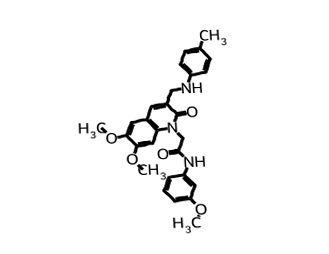 COc1cccc(NC(=O)Cn2c(=O)c(CNc3ccc(C)cc3)cc3cc(OC)c(OC)cc32)c1